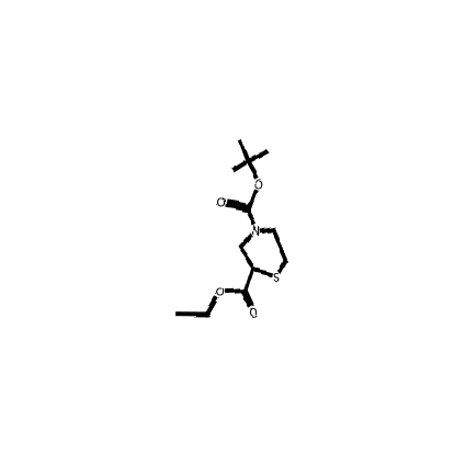 CCOC(=O)C1CN(C(=O)OC(C)(C)C)CCS1